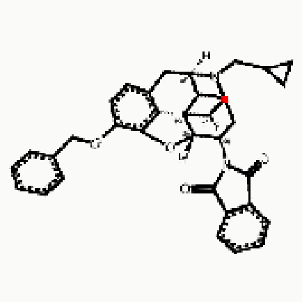 O=C1c2ccccc2C(=O)N1[C@@H]1CC[C]2[C@H]3Cc4ccc(OCc5ccccc5)c5c4[C@]2([C@H](F)CN3CC2CC2)[C@H]1O5